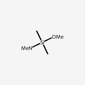 CN[Si](C)(C)OC